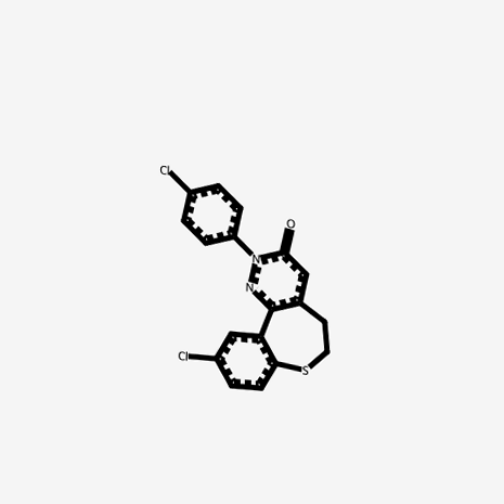 O=c1cc2c(nn1-c1ccc(Cl)cc1)-c1cc(Cl)ccc1SCC2